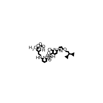 CC1(C)CC(CCNc2cccc(S(=O)(=O)NC(=O)c3ccc(-n4ccc(OCCC(C5CC5)C5CC5)n4)nc3Cl)n2)CN1C(=O)O